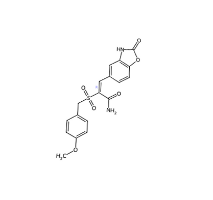 COc1ccc(CS(=O)(=O)/C(=C/c2ccc3oc(=O)[nH]c3c2)C(N)=O)cc1